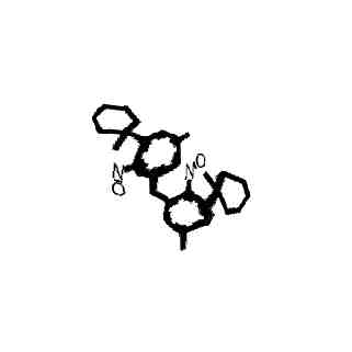 Cc1cc(Cc2cc(C)cc(C3(C)CCCCC3)c2N=O)c(N=O)c(C2(C)CCCCC2)c1